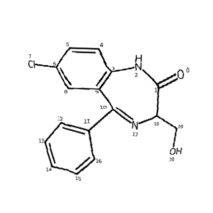 O=C1Nc2ccc(Cl)cc2C(c2ccccc2)=NC1CO